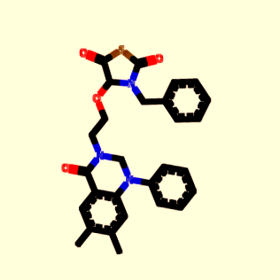 Cc1cc2c(cc1C)N(c1ccccc1)CN(CCOC1C(=O)SC(=O)N1Cc1ccccc1)C2=O